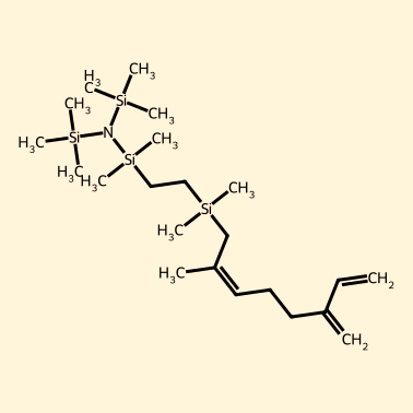 C=CC(=C)CC/C=C(/C)C[Si](C)(C)CC[Si](C)(C)N([Si](C)(C)C)[Si](C)(C)C